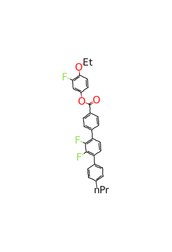 CCCc1ccc(-c2ccc(-c3ccc(C(=O)Oc4ccc(OCC)c(F)c4)cc3)c(F)c2F)cc1